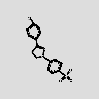 O=S(=O)(Cl)c1ccc(N2CCC(c3ccc(Cl)cc3)=N2)cc1